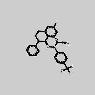 NC(=O)N(/N=C1\c2ccc(F)cc2CCC1c1ccccc1)c1ccc(C(F)(F)F)cc1